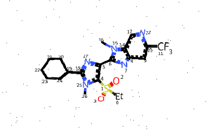 CCS(=O)(=O)c1c(-c2nc3cc(C(F)(F)F)ncc3n2C)nc(C2CCCCC2)n1C